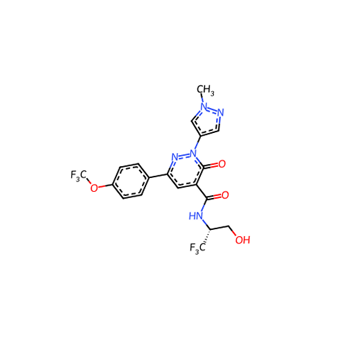 Cn1cc(-n2nc(-c3ccc(OC(F)(F)F)cc3)cc(C(=O)N[C@H](CO)C(F)(F)F)c2=O)cn1